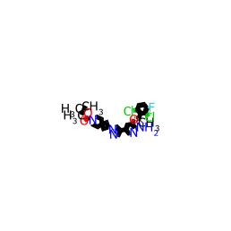 C[C@H](Oc1cc(-c2cnn(C3CC4(CCN(C(=O)OC(C)(C)C)CC4)C3)c2)cnc1N)c1c(Cl)ccc(F)c1Cl